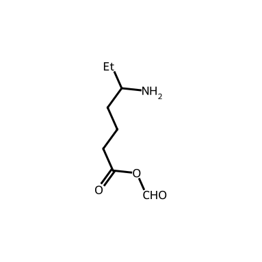 CCC(N)CCCC(=O)OC=O